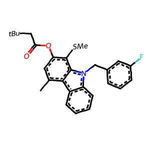 CSc1c(OC(=O)CC(C)(C)C)cc(C)c2c3ccccc3n(Cc3cccc(F)c3)c12